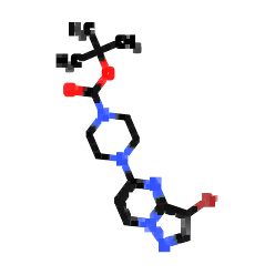 CC(C)(C)OC(=O)N1CCN(c2ccn3ncc(Br)c3n2)CC1